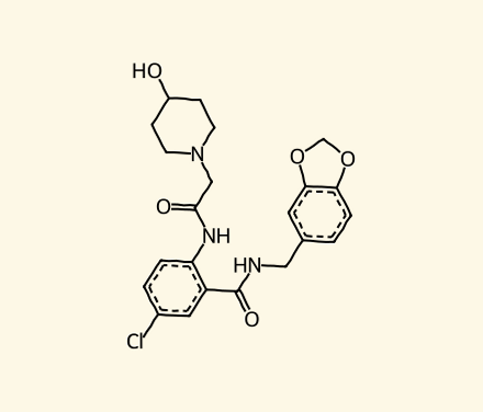 O=C(CN1CCC(O)CC1)Nc1ccc(Cl)cc1C(=O)NCc1ccc2c(c1)OCO2